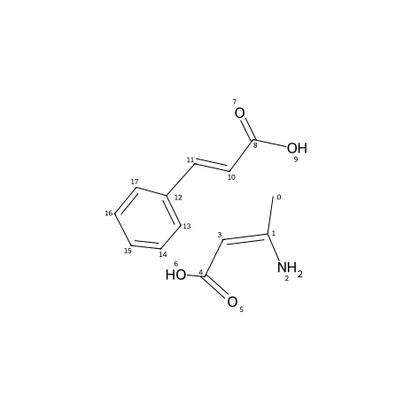 CC(N)=CC(=O)O.O=C(O)C=Cc1ccccc1